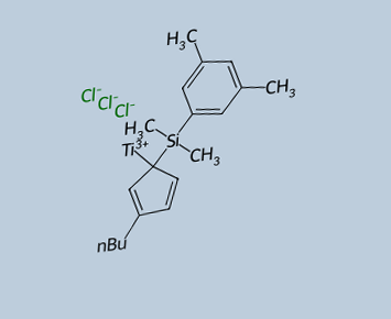 CCCCC1=C[C]([Ti+3])([Si](C)(C)c2cc(C)cc(C)c2)C=C1.[Cl-].[Cl-].[Cl-]